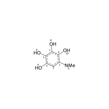 CNc1cc(O)c(O)c(O)c1O